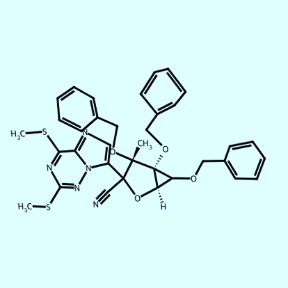 CSc1nc(SC)c2ncc(C3(C#N)O[C@@H]4C(OCc5ccccc5)[C@]4(OCc4ccccc4)[C@@]3(C)OCc3ccccc3)n2n1